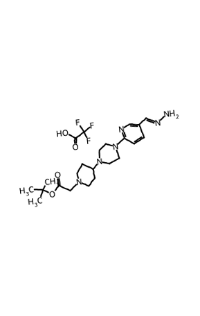 CC(C)(C)OC(=O)CN1CCC(N2CCN(c3ccc(C=NN)cn3)CC2)CC1.O=C(O)C(F)(F)F